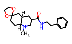 CN1C[C@H](C(=O)NCCc2ccccc2)C[C@@H]2CC3(CC[C@H]21)OCCO3